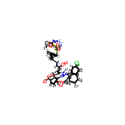 CC[C@@H](C/C=C/[C@H](O)[C@@H]1CC[C@H]1CN1C[C@@]2(CCCc3cc(Cl)ccc32)COc2ccc(C(=O)O)cc21)CS(N)(=O)=O